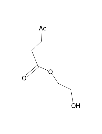 CC(=O)CCC(=O)OCCO